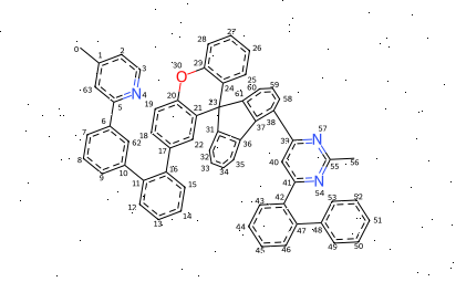 Cc1ccnc(-c2cccc(-c3ccccc3-c3ccc4c(c3)C3(c5ccccc5O4)c4ccccc4-c4c(-c5cc(-c6ccccc6-c6ccccc6)nc(C)n5)cccc43)c2)c1